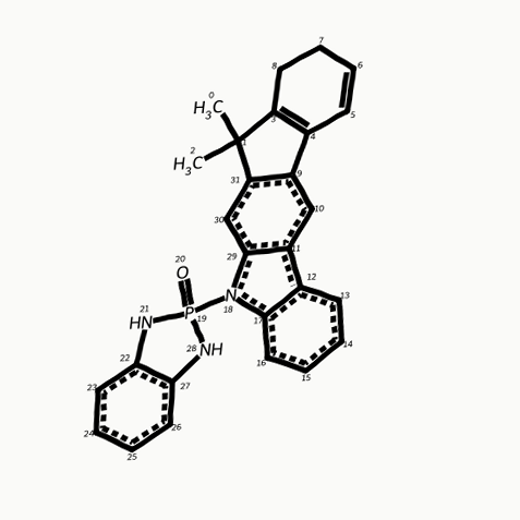 CC1(C)C2=C(C=CCC2)c2cc3c4ccccc4n(P4(=O)Nc5ccccc5N4)c3cc21